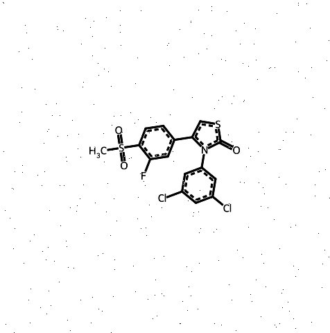 CS(=O)(=O)c1ccc(-c2csc(=O)n2-c2cc(Cl)cc(Cl)c2)cc1F